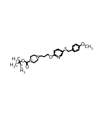 COc1ccc(CSc2ccc(OCCCN3CCN(C(=O)OC(C)(C)C)CC3)nc2)cc1